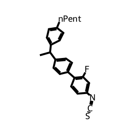 CCCCCc1ccc(C(C)c2ccc(-c3ccc(N=C=S)cc3F)cc2)cc1